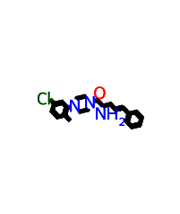 Cc1ccc(Cl)cc1N1CCN(C(=O)C(N)CC=Cc2ccccc2)CC1